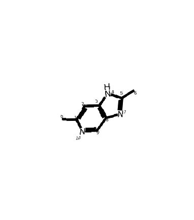 Cc1cc2[nH]c(C)nc2cn1